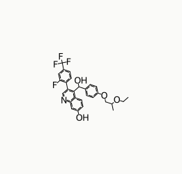 CCOC(C)COc1ccc(C(O)c2c(-c3ccc(C(F)(F)F)cc3F)cnc3cc(O)ccc23)cc1